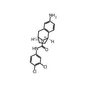 Nc1ccc2c(c1)C[C@@H]1CC[C@H]2N1C(=O)Nc1ccc(Cl)c(Cl)c1